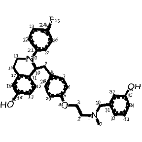 CN(CCOc1ccc(CC2c3ccc(O)cc3CCN2c2ccc(F)cc2)cc1)Cc1cccc(O)c1